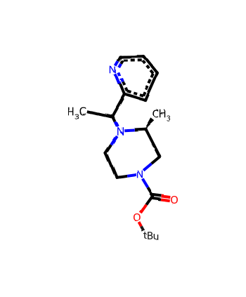 CC(c1ccccn1)N1CCN(C(=O)OC(C)(C)C)C[C@@H]1C